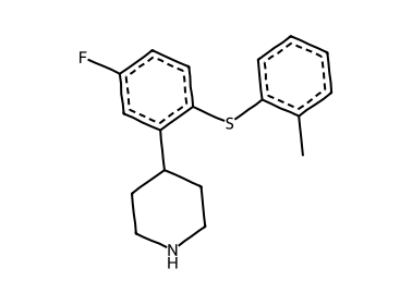 Cc1ccccc1Sc1ccc(F)cc1C1CCNCC1